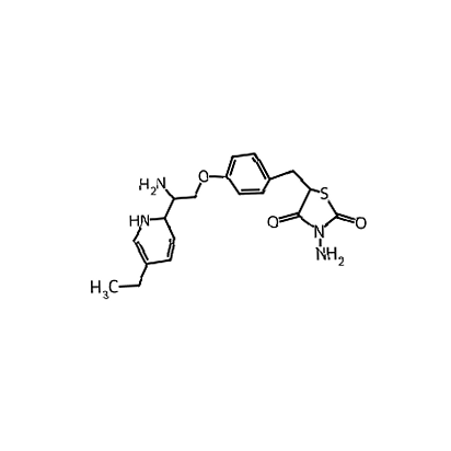 CCC1=CNC(C(N)COc2ccc(CC3SC(=O)N(N)C3=O)cc2)C=C1